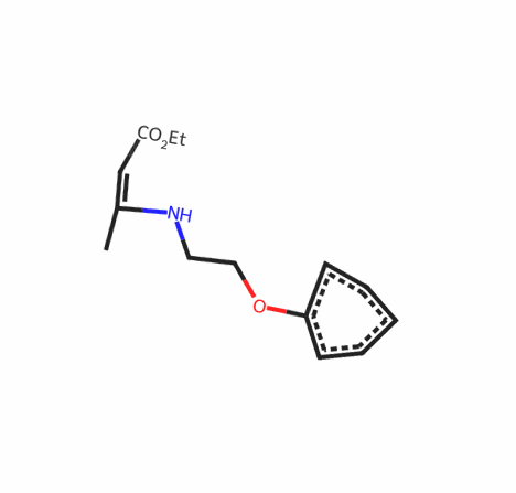 CCOC(=O)/C=C(/C)NCCOc1ccccc1